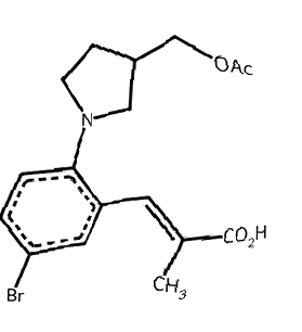 CC(=O)OCC1CCN(c2ccc(Br)cc2C=C(C)C(=O)O)C1